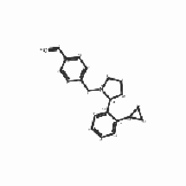 O=Cc1ccc(CN2CCCC2c2ccccc2C2CC2)cc1